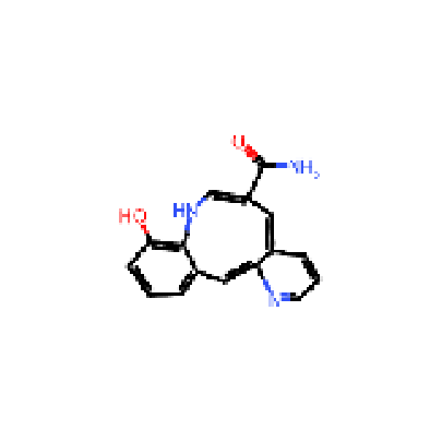 NC(=O)c1c[nH]c2c(O)cccc2cc2ncccc2c1